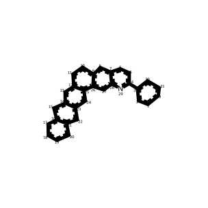 c1ccc(-c2ccc3cc4ccc5cc6cc7ccccc7cc6cc5c4cc3n2)cc1